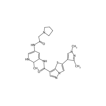 Cc1nn(C)cc1-c1cn2ncc(C(=O)NC3=CC(NC(=O)CN4CCCC4)=CNC3C)c2s1